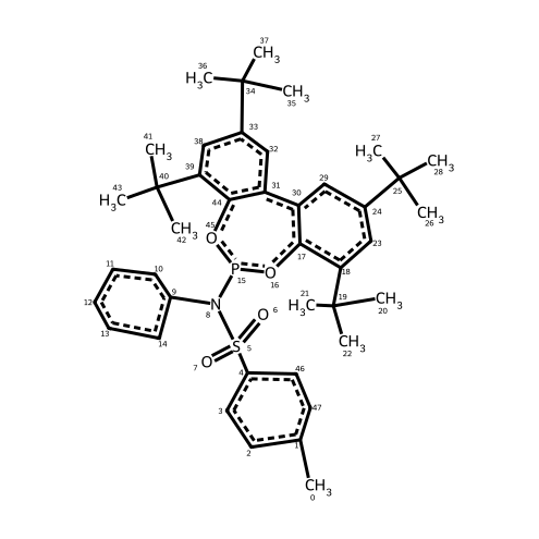 Cc1ccc(S(=O)(=O)N(c2ccccc2)p2oc3c(C(C)(C)C)cc(C(C)(C)C)cc3c3cc(C(C)(C)C)cc(C(C)(C)C)c3o2)cc1